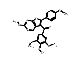 COc1ccc(-c2oc3nc(OC)ncc3c2C(=O)c2cc(OC)c(OC)c(OC)c2)cc1